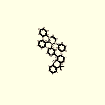 CC1(C)c2ccccc2Oc2c(-c3cc(N4B(c5ccccc5)C=CN(c5ccccc5)B4c4ccccc4)ccn3)cccc21